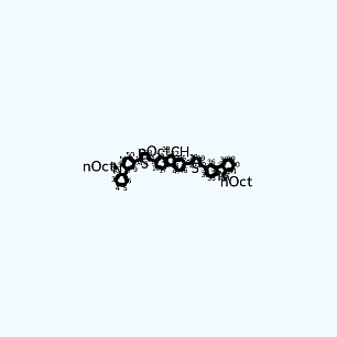 CCCCCCCCn1c2ccccc2c2cc(-c3ccc(-c4ccc5c(c4)C(C)(CCCCCCCC)c4cc(-c6ccc(-c7ccc8c(c7)c7ccccc7n8CCCCCCCC)s6)ccc4-5)s3)ccc21